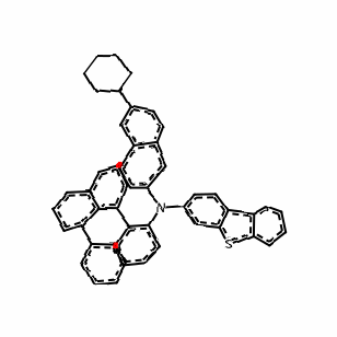 c1ccc(-c2cccc3cccc(-c4ccccc4N(c4ccc5cc(C6CCCCC6)ccc5c4)c4ccc5c(c4)sc4ccccc45)c23)cc1